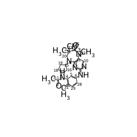 CC(=O)Nc1cc(Nc2ncc3c(n2)N(C2CCCC2)CC(C)(C)C(=O)N3C)ccc1C